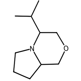 CC(C)C1COCC2CCCN21